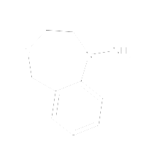 NN1CCSCc2ccccc21